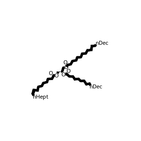 CCCCCCC/C=C\CCCCCCCC(=O)OC[C@H](COC(=O)CCCCCCCCCCCCCCCCCCCCC)OC(=O)CCCCCCCCCCCCCCCCCC